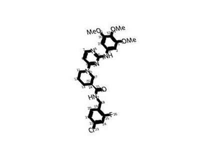 COc1cc(Nc2nccc(N3CCC[C@H](C(=O)NCc4ccc(Cl)cc4F)C3)n2)cc(OC)c1OC